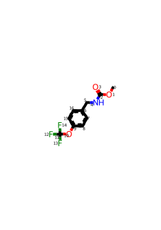 COC(=O)NCc1ccc(OC(F)(F)F)cc1